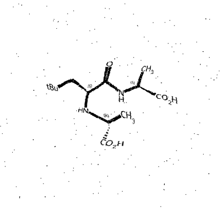 C[C@H](NC(=O)[C@H](CC(C)(C)C)N[C@H](C)C(=O)O)C(=O)O